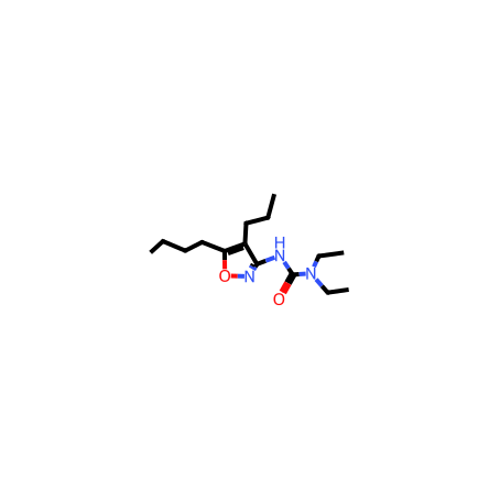 CCCCc1onc(NC(=O)N(CC)CC)c1CCC